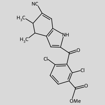 COC(=O)c1ccc(Cl)c(C(=O)c2cc3c([nH]2)C=C(C#N)C(C)C3C)c1Cl